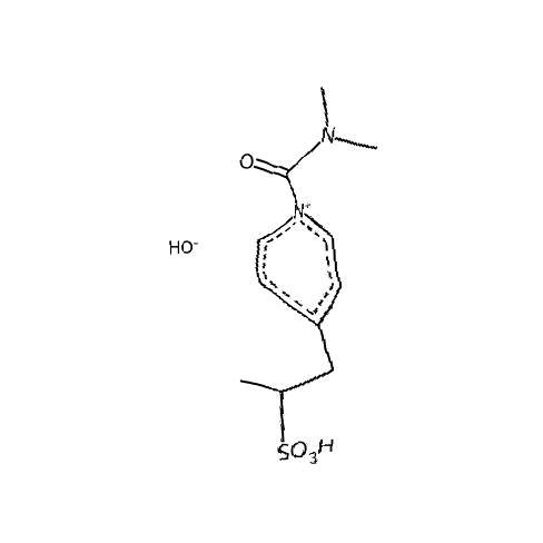 CC(Cc1cc[n+](C(=O)N(C)C)cc1)S(=O)(=O)O.[OH-]